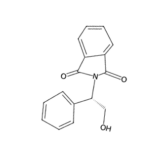 O=C1c2ccccc2C(=O)N1[C@H](CO)c1ccccc1